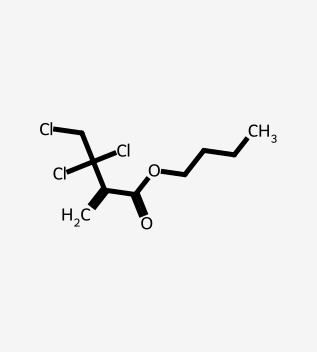 C=C(C(=O)OCCCC)C(Cl)(Cl)CCl